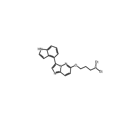 CCN(CC)CCCOc1ccc2ncc(-c3cccc4[nH]ccc34)n2n1